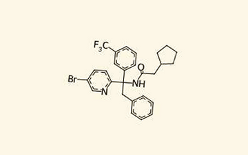 O=C(CC1CCCC1)NC(Cc1ccccc1)(c1cccc(C(F)(F)F)c1)c1ccc(Br)cn1